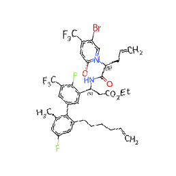 C=CCCCCc1cc(F)cc(C)c1-c1cc([C@H](CC(=O)OCC)NC(=O)[C@H](CC=C)n2cc(Br)c(C(F)(F)F)cc2=O)c(F)c(C(F)(F)F)c1